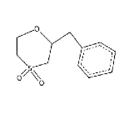 O=S1(=O)CCOC(Cc2ccccc2)C1